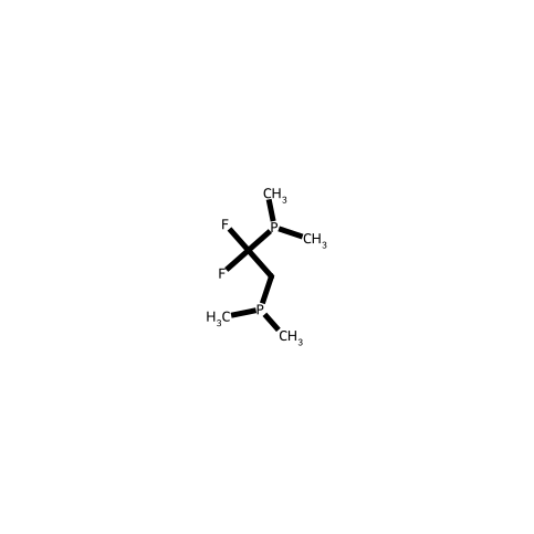 CP(C)CC(F)(F)P(C)C